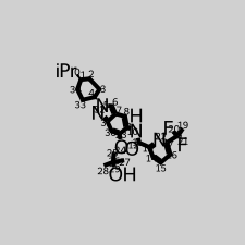 CC(C)[C@H]1CC[C@H](n2cc3cc(NC(=O)c4cccc(C(C)(F)F)n4)c(OCC(C)(C)O)cc3n2)CC1